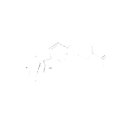 NC(=O)c1ccc(Oc2ccc(C3[C@H]4C[C@@H]5C[C@@H](C[C@H]3C5)C4)cc2)cc1